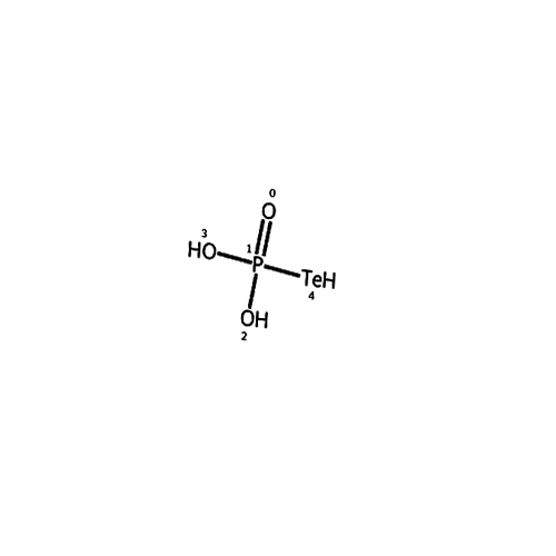 O=P(O)(O)[TeH]